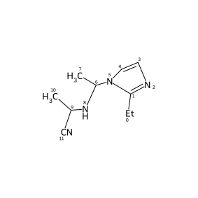 CCc1nccn1C(C)NC(C)C#N